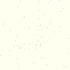 C=C(C(=O)c1ccc(C(=O)O)cc1)c1cc(-c2cc3ccccc3s2)c(OC)cc1OC